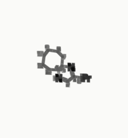 CC(C)c1cnc2c(n1)CCCCCC2